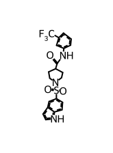 O=C(Nc1cccc(C(F)(F)F)c1)C1CCN(S(=O)(=O)c2ccc3[nH]ccc3c2)CC1